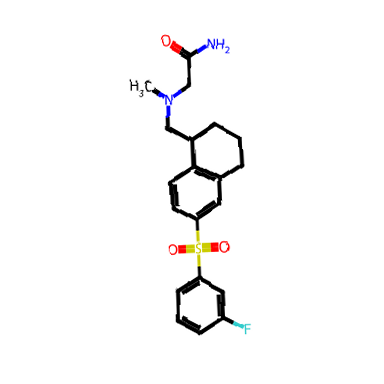 CN(CC(N)=O)CC1CCCc2cc(S(=O)(=O)c3cccc(F)c3)ccc21